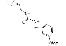 C=CCNC(=O)NCc1cccc(OC)c1